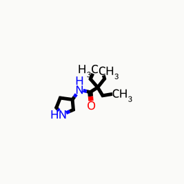 CCC(CC)(CC)C(=O)NC1CCNC1